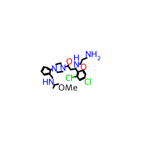 COCC(C)NCc1ccccc1N1CCN(C(=O)CC(NC(=O)CCN)c2ccc(Cl)cc2Cl)CC1